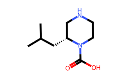 CC(C)C[C@@H]1CNCCN1C(=O)O